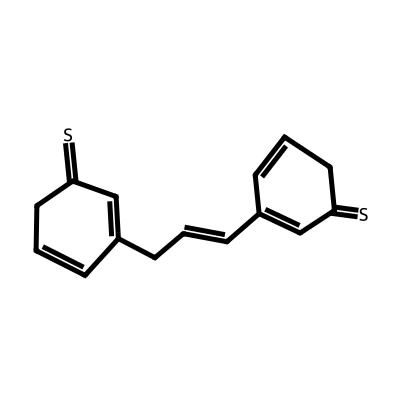 S=C1C=C(C=CCC2=CC(=S)CC=C2)C=CC1